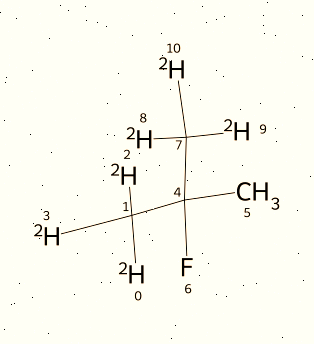 [2H]C([2H])([2H])C(C)(F)C([2H])([2H])[2H]